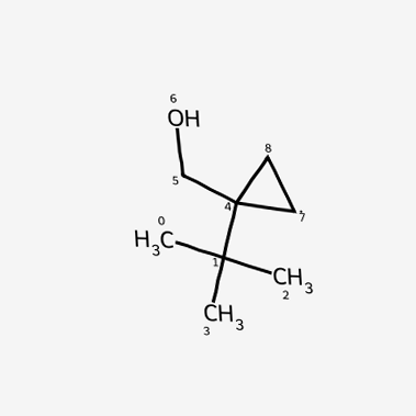 CC(C)(C)C1(CO)[CH]C1